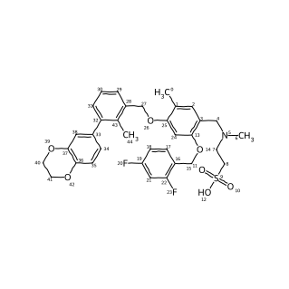 Cc1cc(CN(C)CCS(=O)(=O)O)c(OCc2ccc(F)cc2F)cc1OCc1cccc(-c2ccc3c(c2)OCCO3)c1C